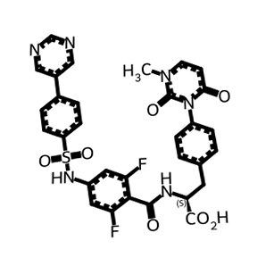 Cn1ccc(=O)n(-c2ccc(C[C@H](NC(=O)c3c(F)cc(NS(=O)(=O)c4ccc(-c5cncnc5)cc4)cc3F)C(=O)O)cc2)c1=O